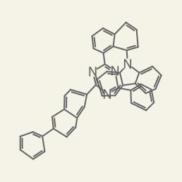 c1ccc(-c2ccc3cc(-c4nc(-c5ccccc5)nc(-c5cccc6cccc(-n7c8ccccc8c8ccccc87)c56)n4)ccc3c2)cc1